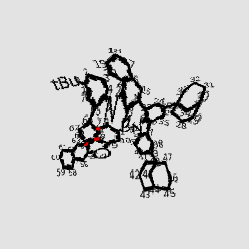 CC(C)(C)c1ccc(N2c3cc4c(cc3B3c5c(cc6ccccc6c52)-c2cc(C56CCCC(CCC5)C6)cc5c6cc(C78CCCC(CCC7)C8)ccc6n3c25)oc2cc3ccccc3cc24)c(-c2ccccc2)c1